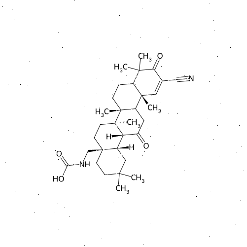 CC1(C)CC[C@]2(CNC(=O)O)CC[C@]3(C)[C@H](C(=O)CC4[C@@]5(C)C=C(C#N)C(=O)C(C)(C)C5CC[C@]43C)[C@@H]2C1